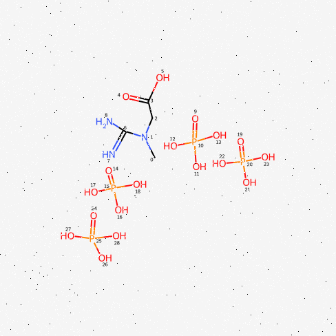 CN(CC(=O)O)C(=N)N.O=P(O)(O)O.O=P(O)(O)O.O=P(O)(O)O.O=P(O)(O)O